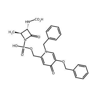 C[C@H]1[C@H](NC(=O)O)C(=O)N1P(=O)(O)OCc1cc(=O)c(OCc2ccccc2)cn1Cc1ccccc1